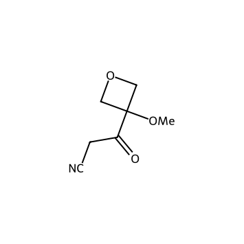 COC1(C(=O)CC#N)COC1